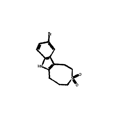 O=S1(=O)CCCc2[nH]c3ccc(Br)cc3c2CC1